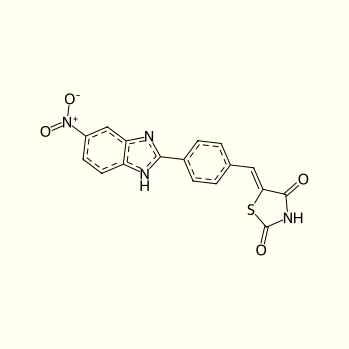 O=C1NC(=O)C(=Cc2ccc(-c3nc4cc([N+](=O)[O-])ccc4[nH]3)cc2)S1